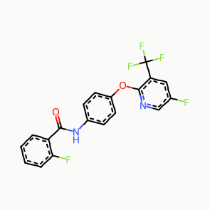 O=C(Nc1ccc(Oc2ncc(F)cc2C(F)(F)F)cc1)c1ccccc1F